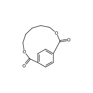 O=C1OCCCCCOC(=O)c2ccc1cc2